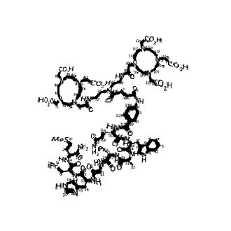 CSCC[C@H](NC(=O)[C@H](CC(C)C)NC(=O)[C@H](Cc1c[nH]cn1)NC(=O)CNC(=O)[C@@H](NC(=O)[C@H](C)NC(=O)[C@H](Cc1c[nH]c2ccccc12)NC(=O)[C@H](CCC(N)=O)NC(=O)c1ccc(NC(=O)CCC(=O)N(CCNC(=O)CN2CCN(CC(=O)O)CCN(CC(=O)O)CCN(CC(=O)O)CC2)CCNC(=O)CN2CCN(CC(=O)O)CCN(CC(=O)O)CCN(CC(=O)O)CC2)cc1)C(C)C)C(N)=O